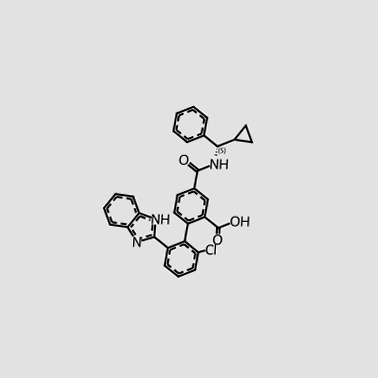 O=C(N[C@H](c1ccccc1)C1CC1)c1ccc(-c2c(Cl)cccc2-c2nc3ccccc3[nH]2)c(C(=O)O)c1